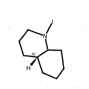 IN1CCC[C@H]2CCCCC21